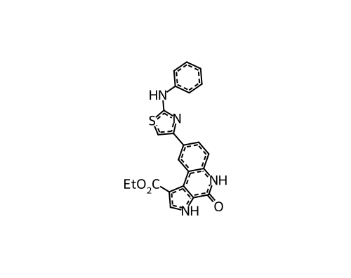 CCOC(=O)c1c[nH]c2c(=O)[nH]c3ccc(-c4csc(Nc5ccccc5)n4)cc3c12